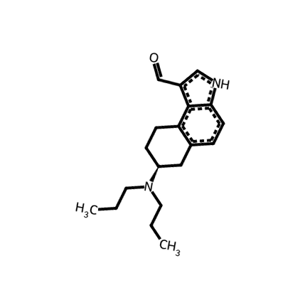 CCCN(CCC)[C@H]1CCc2c(ccc3[nH]cc(C=O)c23)C1